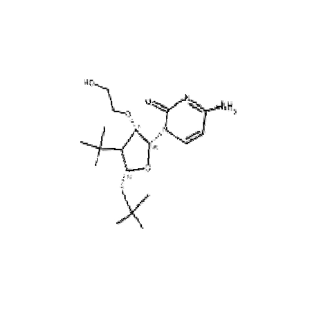 CC(C)(C)C[C@H]1O[C@@H](n2ccc(N)nc2=O)[C@@H](OCCO)C1C(C)(C)C